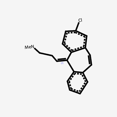 CNCC/C=C1/c2ccccc2C=Cc2cc(Cl)ccc21